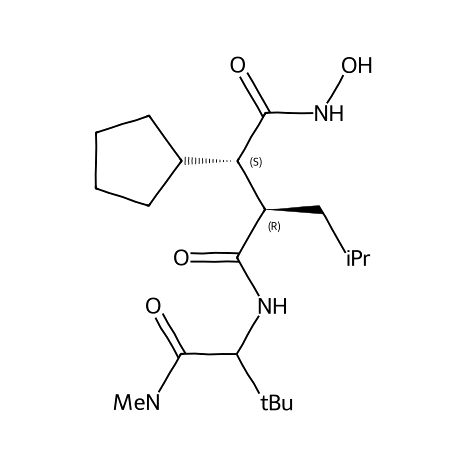 CNC(=O)C(NC(=O)[C@H](CC(C)C)[C@@H](C(=O)NO)C1CCCC1)C(C)(C)C